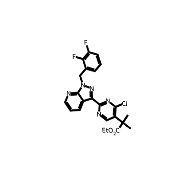 CCOC(=O)C(C)(C)c1cnc(-c2nn(Cc3cccc(F)c3F)c3ncccc23)nc1Cl